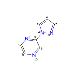 [c]1cnc(-n2cccn2)cn1